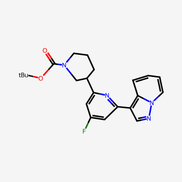 CC(C)(C)OC(=O)N1CCCC(c2cc(F)cc(-c3cnn4ccccc34)n2)C1